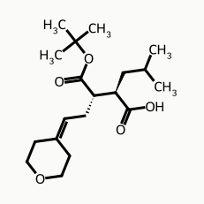 CC(C)C[C@@H](C(=O)O)[C@H](CC=C1CCOCC1)C(=O)OC(C)(C)C